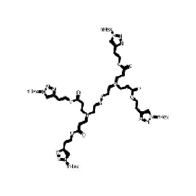 CCCCCCn1cc(CCOC(=O)CCN(CCSSCCN(CCC(=O)OCCc2cn(CCCCCC)nn2)CCC(=O)OCCc2cn(CCCCCC)nn2)CCC(=O)OCCc2cn(CCCCCC)nn2)nn1